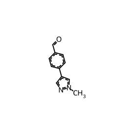 Cn1cc(-c2ccc(C=O)cc2)cn1